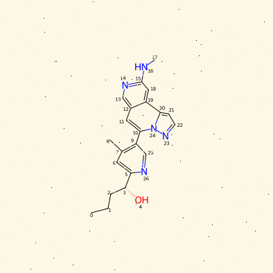 CCC[C@@H](O)c1cc(C)c(-c2cc3cnc(NC)cc3c3ccnn23)cn1